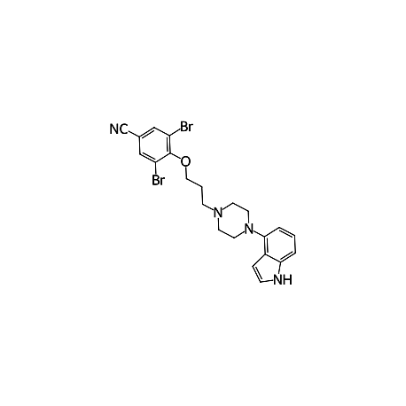 N#Cc1cc(Br)c(OCCCN2CCN(c3cccc4[nH]ccc34)CC2)c(Br)c1